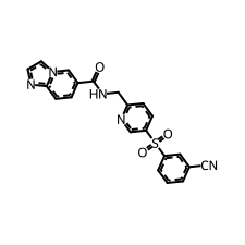 N#Cc1cccc(S(=O)(=O)c2ccc(CNC(=O)c3ccc4nccn4c3)nc2)c1